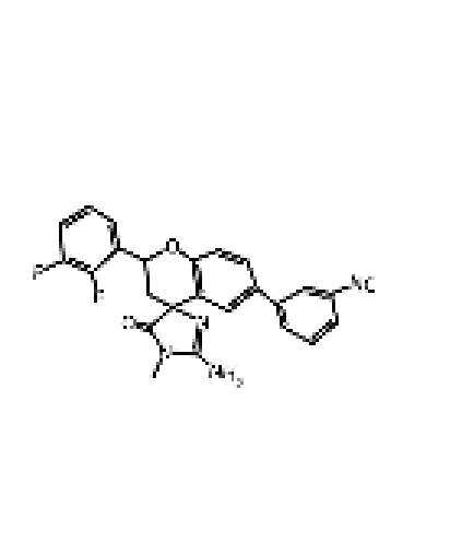 [C-]#[N+]c1cccc(-c2ccc3c(c2)C2(CC(c4cccc(F)c4F)O3)N=C(N)N(C)C2=O)c1